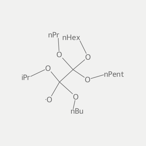 CCCCCCOC(OCCC)(OCCCCC)C([O])(OCCCC)OC(C)C